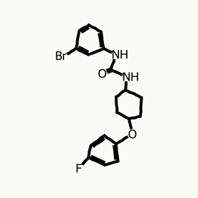 O=C(Nc1cccc(Br)c1)NC1CCC(Oc2ccc(F)cc2)CC1